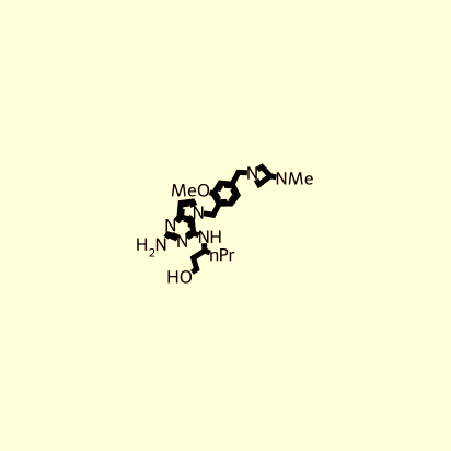 CCCC(CCO)Nc1nc(N)nc2ccn(Cc3ccc(CN4CC(NC)C4)cc3OC)c12